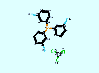 Fc1cccc(P(c2cccc(F)c2)c2cccc(F)c2)c1.[Cl][Rh]([Cl])[Cl]